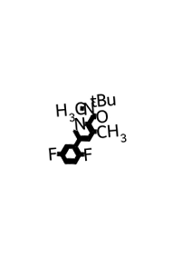 Cc1cc(-c2cc(F)ccc2F)cnc1C(=O)N(C)C(C)(C)C